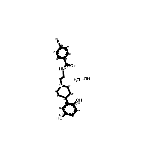 Cl.Cl.O=C(NCCN1CCC(c2cc(O)ccc2O)CC1)c1ccc(F)cc1